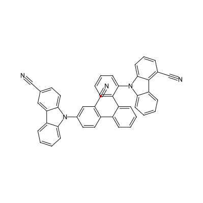 N#Cc1ccc2c(c1)c1ccccc1n2-c1ccc(-c2ccccc2-c2ccccc2-n2c3ccccc3c3c(C#N)cccc32)c(C#N)c1